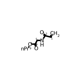 C=CC(=O)NCC(=O)OCCC